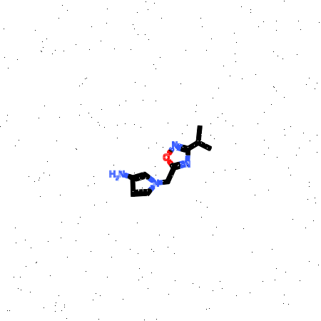 CC(C)c1noc(Cn2ccc(N)c2)n1